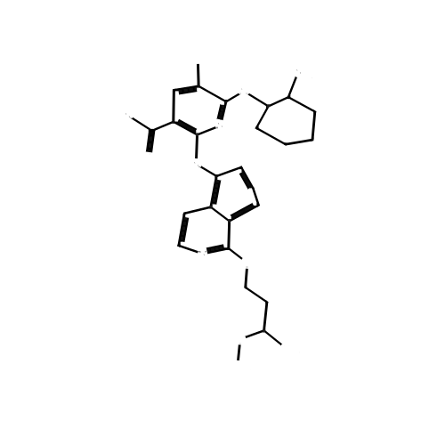 COC(C)CCOc1nccc2c(Nc3nc(NC4CCCCC4N)c(F)cc3C(N)=O)cccc12